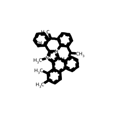 Cc1ccc2c3ccccc3c3c(c2c1C)[n+](C)c(-c1ccccc1)n3-c1c(C(C)C)cccc1C(C)C